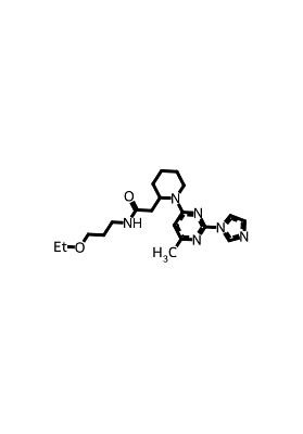 CCOCCCNC(=O)CC1CCCCN1c1cc(C)nc(-n2ccnc2)n1